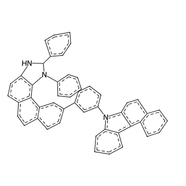 c1ccc(C2Nc3ccc4ccc5ccc(-c6cccc(-n7c8ccccc8c8c9ccccc9ccc87)c6)cc5c4c3N2c2ccccc2)cc1